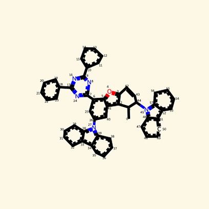 CC1c2c(oc3c(-c4nc(-c5ccccc5)nc(-c5ccccc5)n4)cc(-n4c5ccccc5c5ccccc54)cc23)C=CC1n1c2ccccc2c2ccccc21